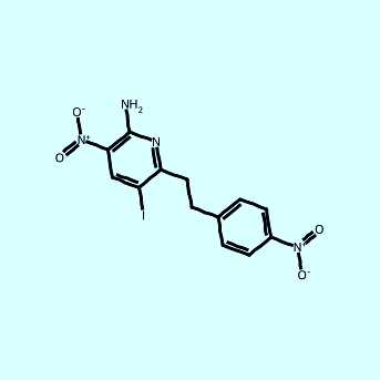 Nc1nc(CCc2ccc([N+](=O)[O-])cc2)c(I)cc1[N+](=O)[O-]